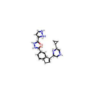 C1=C(c2cncc(C3CC3)n2)c2cc(-c3nnc(-c4ccn[nH]4)o3)ccc2C1